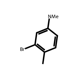 CNc1ccc(C)c(Br)c1